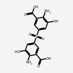 Nc1c(O)cc(S(=O)(=O)c2cc(O)c(N)c(C(=O)O)c2)cc1C(=O)O